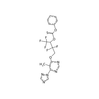 Cc1c(OCC(F)(F)C(OC(=S)Oc2ccccc2)C(F)(F)F)ncnc1-n1cncn1